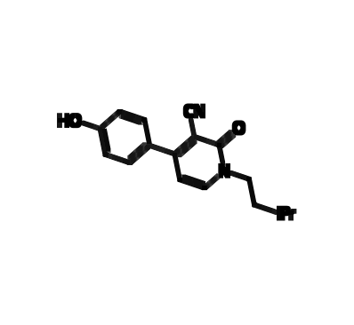 CC(C)CCn1ccc(-c2ccc(O)cc2)c(C#N)c1=O